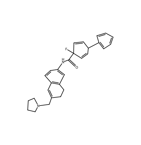 O=C(Nc1ccc2c(c1)CCC(CN1CCCC1)=C2)C1(F)C=CC(c2ccccc2)C=C1